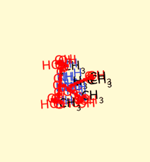 CC(=O)NC1C(OCCOCCNC(=O)CC[C@H](NC(=O)CC[C@H](NC(=O)CCCC(=O)NCCCCCCOP(=O)(O)C(C)(C)C)C(=O)NCCOCCOC2OC(CO)C(O)C(O)C2NC(C)=O)C(=O)NCCOCCOC2OC(CO)C(O)C(O)C2NC(C)=O)OC(CO)C(O)C1O